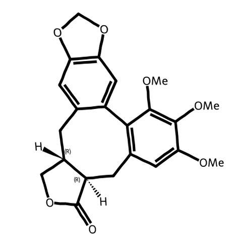 COc1cc2c(c(OC)c1OC)-c1cc3c(cc1C[C@H]1COC(=O)[C@@H]1C2)OCO3